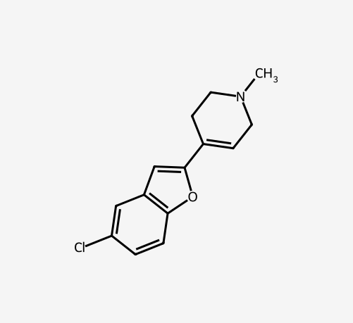 CN1CC=C(c2cc3cc(Cl)ccc3o2)CC1